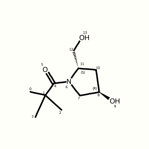 CC(C)(C)C(=O)N1C[C@H](O)C[C@H]1CO